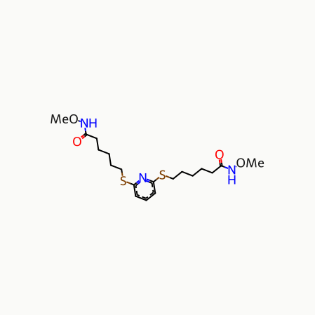 CONC(=O)CCCCCSc1cccc(SCCCCCC(=O)NOC)n1